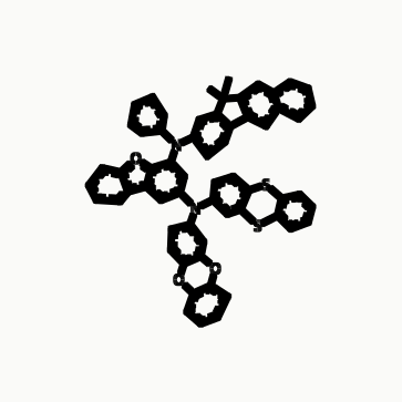 CC1(C)c2cc(N(c3ccccc3)c3cc(N(c4ccc5c(c4)Oc4ccccc4O5)c4ccc5c(c4)Sc4ccccc4S5)cc4c3oc3ccccc34)ccc2-c2cc3ccccc3cc21